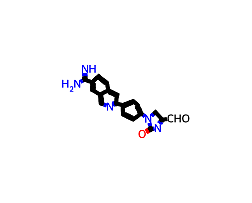 N=C(N)c1ccc2cc(-c3ccc(N4CC(C=O)=NC4=O)cc3)ncc2c1